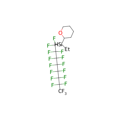 CC[SiH](C1CCCCO1)C(F)(F)C(F)(F)C(F)(F)C(F)(F)C(F)(F)C(F)(F)C(F)(F)C(F)(F)F